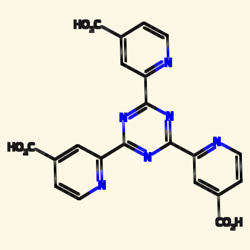 O=C(O)c1ccnc(-c2nc(-c3cc(C(=O)O)ccn3)nc(-c3cc(C(=O)O)ccn3)n2)c1